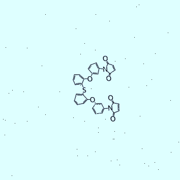 O=C1C=CC(=O)N1c1cccc(Oc2ccccc2Sc2ccccc2Oc2cccc(N3C(=O)C=CC3=O)c2)c1